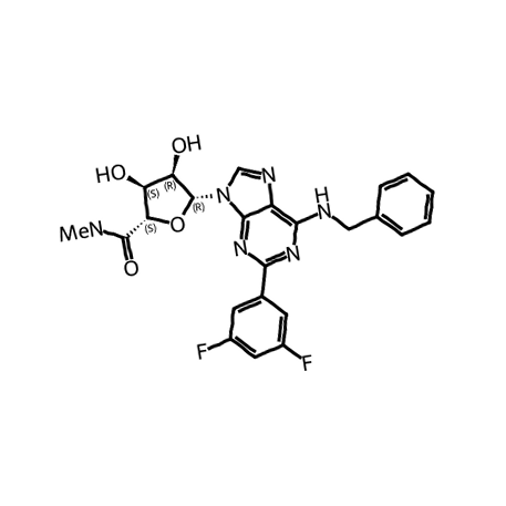 CNC(=O)[C@H]1O[C@@H](n2cnc3c(NCc4ccccc4)nc(-c4cc(F)cc(F)c4)nc32)[C@H](O)[C@@H]1O